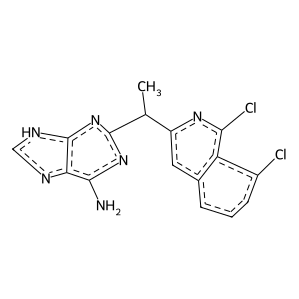 CC(c1cc2cccc(Cl)c2c(Cl)n1)c1nc(N)c2nc[nH]c2n1